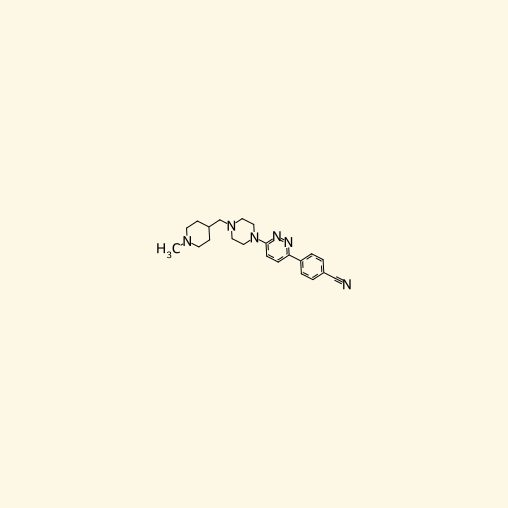 CN1CCC(CN2CCN(c3ccc(-c4ccc(C#N)cc4)nn3)CC2)CC1